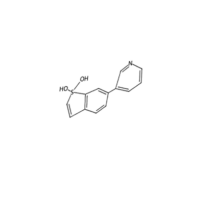 OS1(O)C=Cc2ccc(-c3cccnc3)cc21